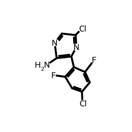 Nc1ncc(Cl)nc1-c1c(F)cc(Cl)cc1F